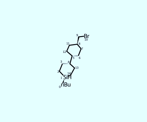 CCCC[Si@H]1CC[C@H]([C@H]2CC[C@H](CBr)CC2)CC1